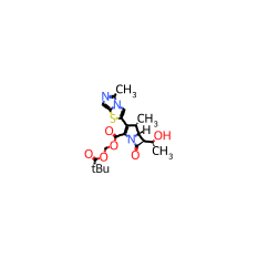 Cc1ncc2sc(C3=C(C(=O)OCOC(=O)C(C)(C)C)N4C(=O)[C@H]([C@@H](C)O)[C@H]4[C@H]3C)cn12